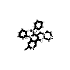 Cc1cc2c(cn1)c(=O)c(CN1CCOCC1)c(Nc1ccccc1)n2-c1ccccc1